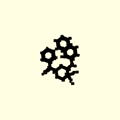 O=C(c1ncccn1)N1CCC(F)(F)C(Oc2ccc3ccccc3n2)C1